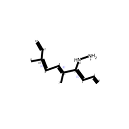 C=C/C=C(NN)/C(C)=C/C=C(/C)C=C